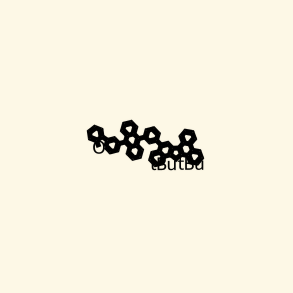 CC(C)(C)C1(C(C)(C)C)c2c(cc(-c3cccc(-c4c5ccccc5c(-c5ccc6oc7ccccc7c6c5)c5ccccc45)c3)c3ccccc23)-c2c1c1ccccc1c1ccccc21